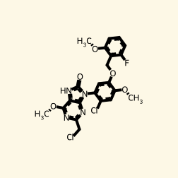 COc1cc(Cl)c(-n2c(=O)[nH]c3c(OC)nc(CCl)nc32)cc1OCc1c(F)cccc1OC